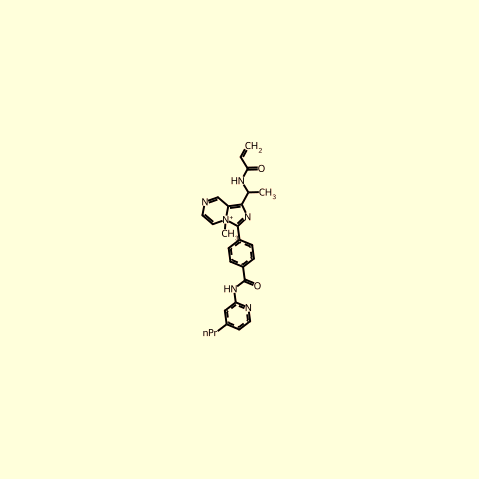 C=CC(=O)NC(C)C1=C2C=NC=C[N+]2(C)C(c2ccc(C(=O)Nc3cc(CCC)ccn3)cc2)=N1